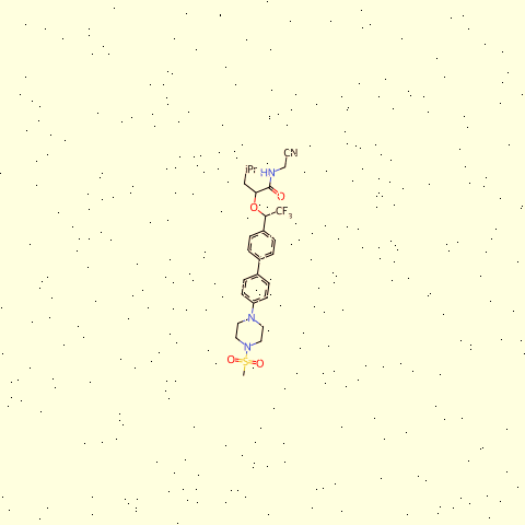 CC(C)CC(OC(c1ccc(-c2ccc(N3CCN(S(C)(=O)=O)CC3)cc2)cc1)C(F)(F)F)C(=O)NCC#N